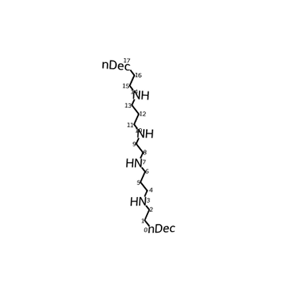 CCCCCCCCCCCCNCCCNCCNCCCNCCCCCCCCCCCC